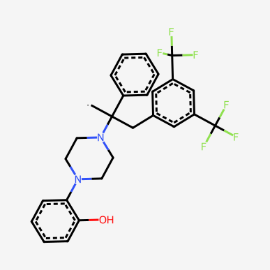 [CH2]C(Cc1cc(C(F)(F)F)cc(C(F)(F)F)c1)(c1ccccc1)N1CCN(c2ccccc2O)CC1